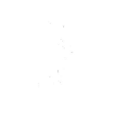 c1ccc(-n2c3ccc(-c4ccc5c(c4)c4ccccc4n5-c4ccc5c(n4)-c4cccc6nccc-5c46)cc3c3cc4ccccc4cc32)cc1